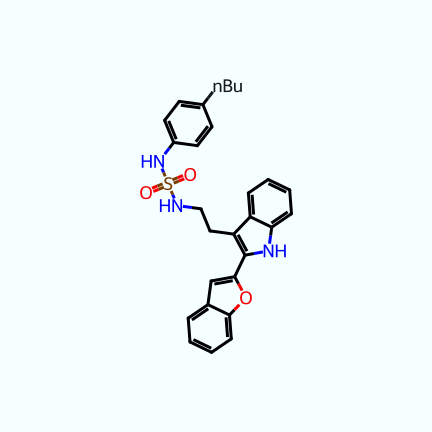 CCCCc1ccc(NS(=O)(=O)NCCc2c(-c3cc4ccccc4o3)[nH]c3ccccc23)cc1